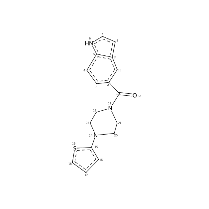 O=C(c1ccc2[nH]ccc2c1)N1CCN(c2cccs2)CC1